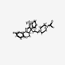 CC(=O)N1CCN(CCC[C@]2(c3ccccc3)C([C@H](C)O)=NN3c4cc(F)ccc4OCC32)CC1